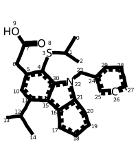 CC(C)Sc1c(CC(=O)O)cc(C(C)C)c2c3ccccc3n(Cc3ccccc3)c12